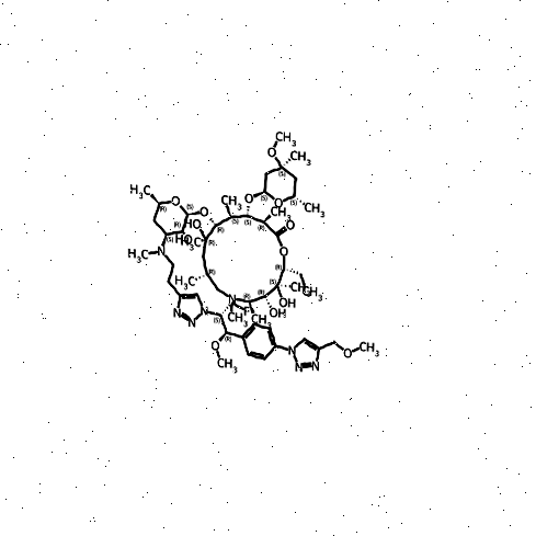 CC[C@H]1OC(=O)[C@H](C)[C@@H](O[C@H]2C[C@@](C)(OC)C[C@H](C)O2)[C@H](C)[C@@H](O[C@@H]2O[C@H](C)C[C@H](N(C)CCc3cn([C@H](CF)[C@H](OC)c4ccc(-n5cc(COC)nn5)cc4)nn3)[C@H]2O)[C@](C)(O)C[C@@H](C)CN(C)[C@H](C)[C@@H](O)[C@]1(C)O